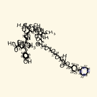 CC[C@@H](C)[C@H](NC(=O)CN(C)CCOCCOCCOCCNC(=O)OCC1CCN(C2=C/C=C\C=C/C=C\2)CC1)C(=O)N(C)[C@H](CC(OC(C)=O)c1nc(C(=O)N[C@@H](Cc2ccc(O)cc2)C[C@H](C)C(=O)O)cs1)C(C)C